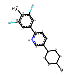 CCC1CCC(c2ccc(-c3cc(F)c(C)c(F)c3)nc2)CC1